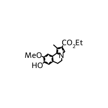 CCOC(=O)c1cn2c(c1C)-c1cc(OC)c(O)cc1CC2